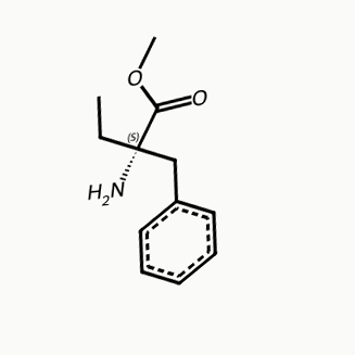 CC[C@](N)(Cc1ccccc1)C(=O)OC